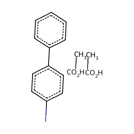 CC(=O)O.CC(=O)O.Ic1ccc(-c2ccccc2)cc1